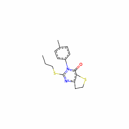 CCCSc1nc2c(c(=O)n1-c1ccc(C)cc1)SCC2